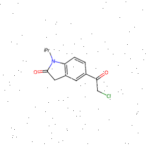 CC(C)N1C(=O)Cc2cc(C(=O)CCl)ccc21